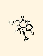 CCN1C[C@@](C#CC2CC2)(C(F)(F)F)c2cc(Cl)ccc2NC1=O